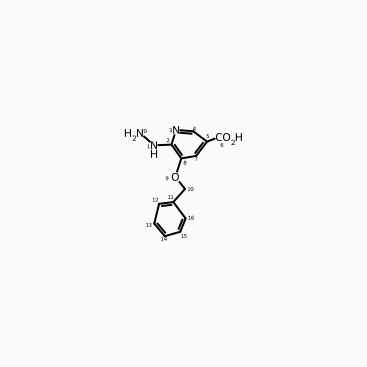 NNc1ncc(C(=O)O)cc1OCc1ccccc1